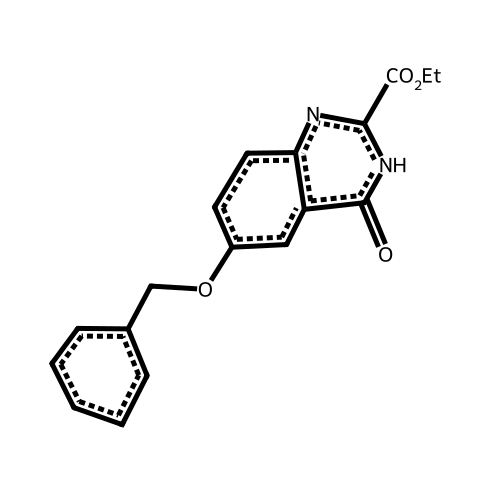 CCOC(=O)c1nc2ccc(OCc3ccccc3)cc2c(=O)[nH]1